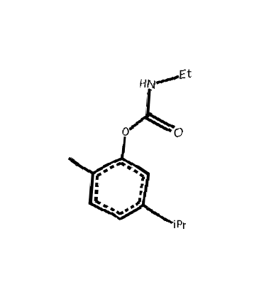 CCNC(=O)Oc1cc(C(C)C)ccc1C